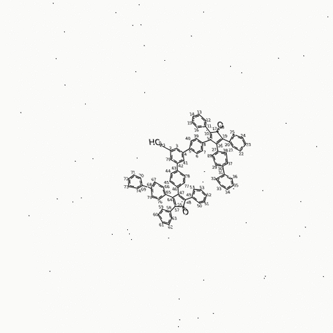 C#Cc1cc(-c2ccc(C3=C(c4ccccc4)C(=O)C(c4ccccc4)=C3c3ccc(-c4ccccc4)cc3)cc2)cc(-c2ccc(C3=C(c4ccccc4)C(=O)C(c4ccccc4)=C3c3ccc(-c4ccccc4)cc3)cc2)c1